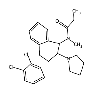 CCC(=O)N(C)C1c2ccccc2CCC1N1CCCC1.Clc1ccccc1Cl